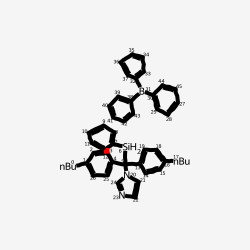 CCCCc1ccc(C([SiH2]c2ccccc2)(c2ccc(CCCC)cc2)n2ccnc2)cc1.c1ccc(B(c2ccccc2)c2ccccc2)cc1